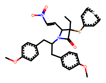 CCC1(Sc2ccccc2)C(=O)N(C(Cc2ccc(OC)cc2)Cc2ccc(OC)cc2)C1C=C[N+](=O)[O-]